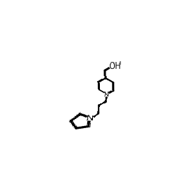 OCC1CCN(CCCN2CCCC2)CC1